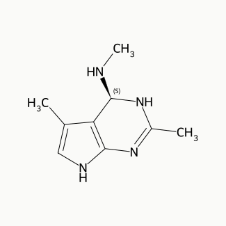 CN[C@H]1NC(C)=Nc2[nH]cc(C)c21